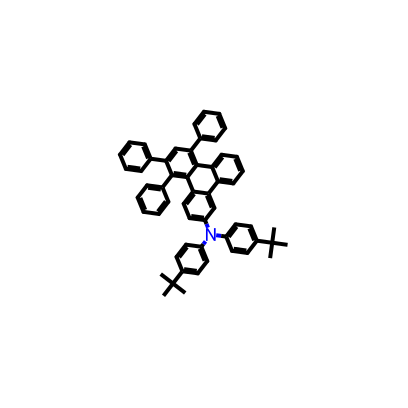 CC(C)(C)c1ccc(N(c2ccc(C(C)(C)C)cc2)c2ccc3c(c2)c2ccccc2c2c(-c4ccccc4)cc(-c4ccccc4)c(-c4ccccc4)c32)cc1